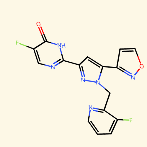 O=c1[nH]c(-c2cc(-c3ccon3)n(Cc3ncccc3F)n2)ncc1F